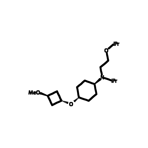 CO[C@H]1C[C@H](O[C@H]2CC[C@H](N(CCOC(C)C)C(C)C)CC2)C1